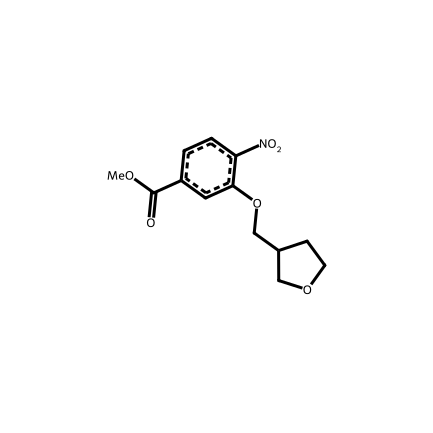 COC(=O)c1ccc([N+](=O)[O-])c(OCC2CCOC2)c1